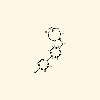 Cc1ccc(-c2ccc3c(c2)N2CCNCCC2C3)cc1